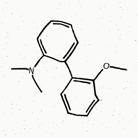 COc1[c]cccc1-c1ccccc1N(C)C